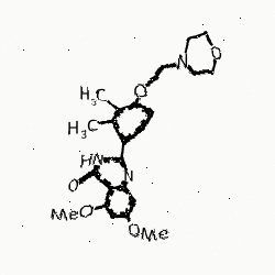 COc1cc(OC)c2c(=O)[nH]c(-c3ccc(OCCN4CCOCC4)c(C)c3C)nc2c1